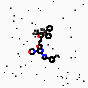 Cc1cccc(-c2ccn(-c3cc(N4CCOCC4)c4oc(/C=C/C(CO[Si](c5ccccc5)(c5ccccc5)C(C)(C)C)O[Si](C)(C)C(C)(C)C)cc4n3)n2)c1